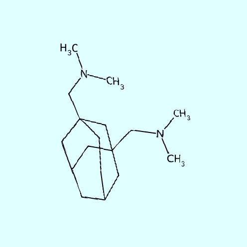 CN(C)CC12CC3CC(C1)CC(CN(C)C)(C3)C2